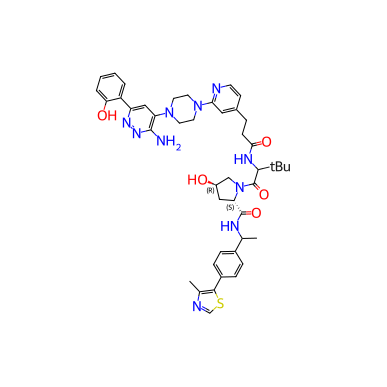 Cc1ncsc1-c1ccc(C(C)NC(=O)[C@@H]2C[C@@H](O)CN2C(=O)C(NC(=O)CCc2ccnc(N3CCN(c4cc(-c5ccccc5O)nnc4N)CC3)c2)C(C)(C)C)cc1